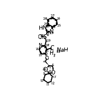 Cc1c(OC[C@H]2COC3(CCCCC3)O2)ccnc1C[S+]([O-])c1nc2ccccc2[nH]1.[NaH]